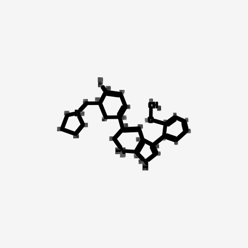 COc1ccccc1-c1c[nH]c2c1C=C(C1=CC=C(F)C(CN3CCCC3)C1)CN2